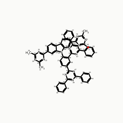 Cc1nc(C)nc(-c2ccc3c4ccc(-c5nc(C)nc(C)n5)cc4n(-c4ccc(-c5nc(-c6ccccc6)nc(-c6ccccc6)n5)cc4-c4nc(-c5ccccc5)cc(-c5ccccc5)n4)c3c2)n1